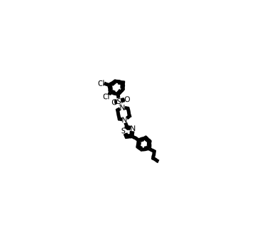 CCCc1ccc(-c2csc(N3CCN(S(=O)(=O)c4cccc(Cl)c4Cl)CC3)n2)cc1